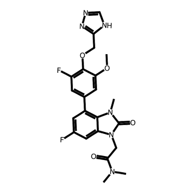 COc1cc(-c2cc(F)cc3c2n(C)c(=O)n3CC(=O)N(C)C)cc(F)c1OCc1nnc[nH]1